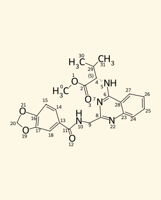 COC(=O)[C@@H](Nc1nc(CNC(=O)c2ccc3c(c2)OCO3)nc2ccccc12)C(C)C